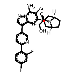 CC(=O)c1c([C@H]2C[C@H]3CC[C@@H](C2)N3C(=O)[C@@H](C)O)nc2c(-c3ccc(-c4ccc(F)cc4F)nc3)cnn2c1N